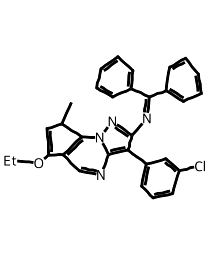 CCOC1=CC(C)c2c1cnc1c(-c3cccc(Cl)c3)c(N=C(c3ccccc3)c3ccccc3)nn21